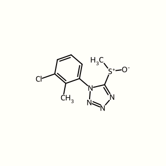 Cc1c(Cl)cccc1-n1nnnc1[S+](C)[O-]